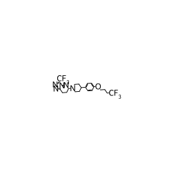 FC(F)(F)CCCOc1ccc(C2CCN(C3=Nn4c(nnc4C(F)(F)F)CC3)CC2)cc1